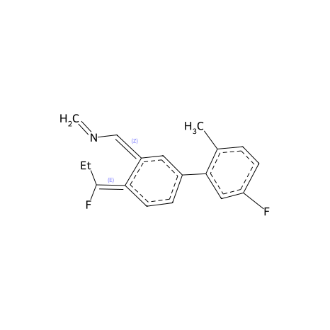 C=N/C=c1/cc(-c2cc(F)ccc2C)cc/c1=C(\F)CC